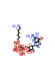 NCCCCCCOP(=O)(O)OP(=O)(O)OP(=O)(O)OP(=O)(O)O[C@H]1O[C@@H](n2cnc3c(=O)[nH]c(N)nc32)C[C@H]1O